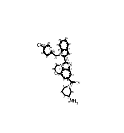 N[C@@H]1CCCN(C(=O)c2cc3c4c(c2)nc(-c2cc5ccccc5n2Cc2ccc(Cl)cc2)n4CCO3)C1